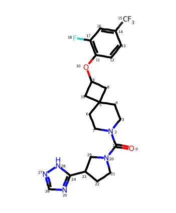 O=C(N1CCC2(CC1)CC(Oc1ccc(C(F)(F)F)cc1F)C2)N1CCC(c2ncn[nH]2)C1